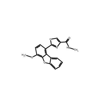 CNC(=O)c1coc(-c2ccc(OC)c3oc4ccccc4c23)n1